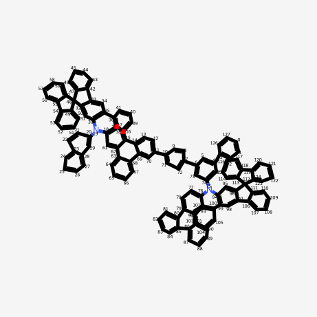 c1ccc(-c2cc(-c3ccc(-c4ccc5c6ccc(N(c7ccc8ccccc8c7)c7cc8c(cc7-c7ccccc7)-c7ccccc7C87c8ccccc8-c8ccccc87)cc6c6ccccc6c5c4)cc3)cc(N(c3ccc4c5ccccc5c5ccccc5c4c3)c3cc4c(cc3-c3ccccc3)-c3ccccc3C43c4ccccc4-c4ccccc43)c2)cc1